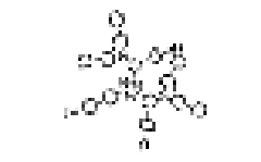 N#Cc1ccc(-c2ccc(-c3nc(-c4cc(-c5ccc(C#N)cc5)cc(-n5c6ccc(-c7ccccc7)cc6c6cc(-c7ccccc7)ccc65)c4)nc(-c4cc(-c5ccc(C#N)cc5)cc(-n5c6ccc(-c7ccccc7)cc6c6cc(-c7ccccc7)ccc65)c4)n3)cc2)cc1